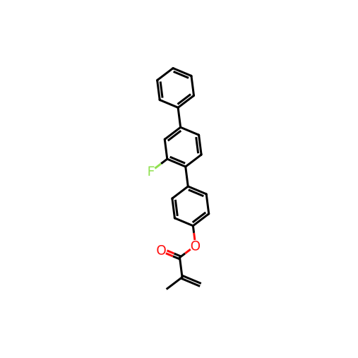 C=C(C)C(=O)Oc1ccc(-c2ccc(-c3ccccc3)cc2F)cc1